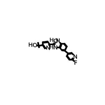 CC(C)(O)c1ccc(C(=O)Nc2cc(-c3ccc(F)nc3)ccc2N)nc1